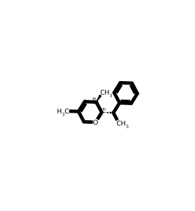 CC1=C[C@@H](C)[C@H](C(C)c2ccccc2)OC1